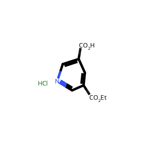 CCOC(=O)c1cncc(C(=O)O)c1.Cl